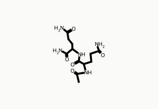 CC(=O)NC(CCC(N)=O)C(=O)NC(CCC(N)=O)C(N)=O